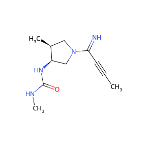 CC#CC(=N)N1C[C@H](C)[C@H](NC(=O)NC)C1